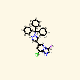 Clc1cc(-c2cnn(C(c3ccccc3)(c3ccccc3)C3C=CC=CC3)c2)cn2c(I)cnc12